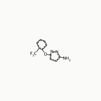 Nc1ccc(Oc2ccccc2C(F)(F)F)nn1